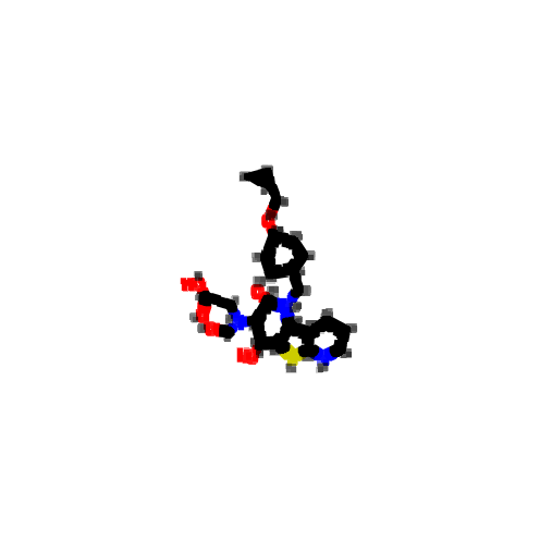 O=CN(CC(=O)O)c1c(O)c2sc3ncccc3c2n(Cc2ccc(OCC3CC3)cc2)c1=O